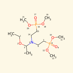 CCOC(C)N(CCP(=O)(OC)OC)CCP(=O)(OC)OC